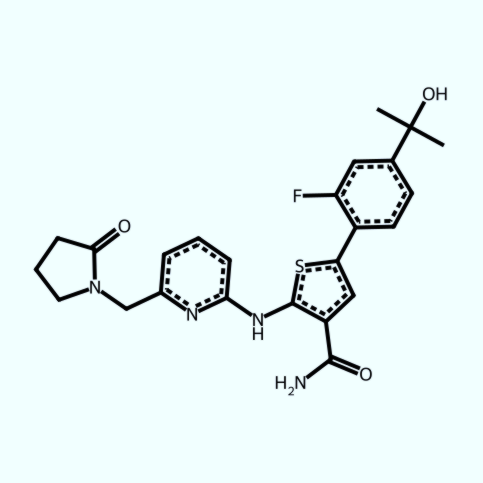 CC(C)(O)c1ccc(-c2cc(C(N)=O)c(Nc3cccc(CN4CCCC4=O)n3)s2)c(F)c1